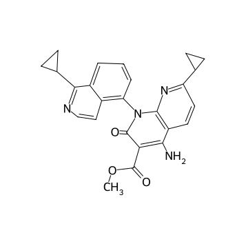 COC(=O)c1c(N)c2ccc(C3CC3)nc2n(-c2cccc3c(C4CC4)nccc23)c1=O